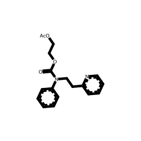 CC(=O)OCCOC(=O)N(CCc1ccccn1)c1ccccc1